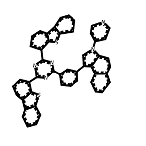 c1cc(-c2nc(-c3cccc4c3sc3ccccc34)nc(-c3cccc4c3sc3ccccc34)n2)cc(-c2cn(-c3ccncc3)c3ccc4ccccc4c23)c1